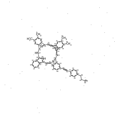 Cc1cc2c(cc1C)C1N=C2/N=c2\[nH]/c(c3cc(C)c(C)cc23)=N\C2=NC(=N\c3[nH]c(c4ccccc34)N1)/c1ccc(C#Cc3ccc(CCC(C)C)cc3)cc12